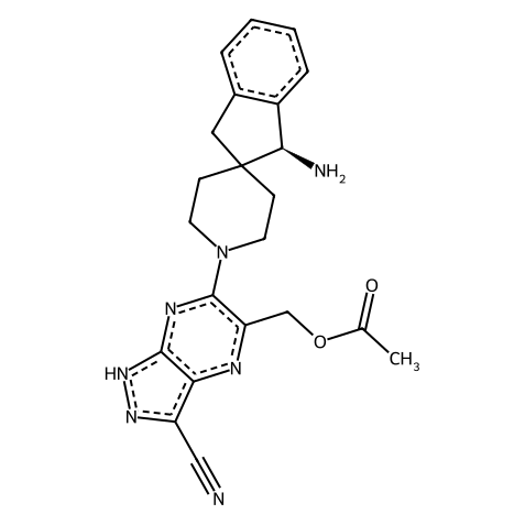 CC(=O)OCc1nc2c(C#N)n[nH]c2nc1N1CCC2(CC1)Cc1ccccc1[C@H]2N